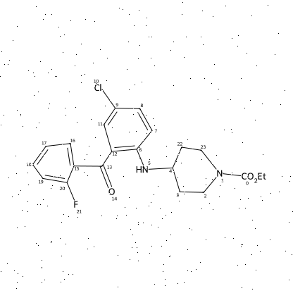 CCOC(=O)N1CCC(Nc2ccc(Cl)cc2C(=O)c2ccccc2F)CC1